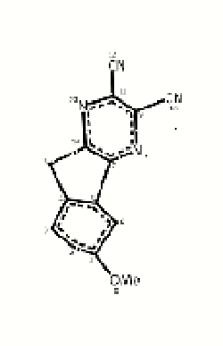 COc1ccc2c(c1)-c1nc(C#N)c(C#N)nc1C2